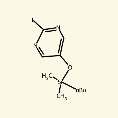 CCCC[Si](C)(C)Oc1cnc(I)nc1